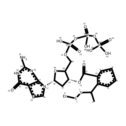 CCSSC(C)c1ccccc1C(=O)O[C@@H]1C[C@H](n2cnc3c(=O)[nH]c(N)nc32)OC1COP(=O)(O)OP(=O)(O)OP(=O)(O)O